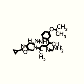 C=C(C(=C/C(=C)N1CCc2nc(C3CC3)oc2C1)/N=C\N)c1cc(OC(C)C)ccc1NN